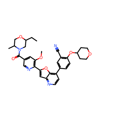 CCC1CN(C(=O)c2cnc(-c3cc4nccc(-c5ccc(OC6CCOCC6)c(C#N)c5)c4o3)c(OC)c2)C(C)CO1